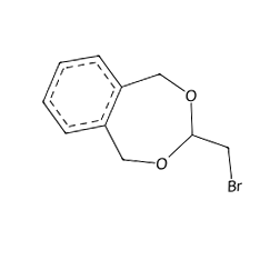 BrCC1OCc2ccccc2CO1